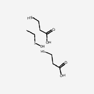 CCSO.O=C(O)CCS.O=C(O)CCS